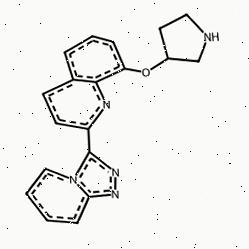 c1cc(OC2CCNC2)c2nc(-c3nnc4ccccn34)ccc2c1